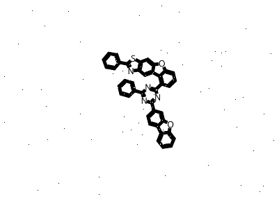 c1ccc(-c2nc(-c3ccc4c(c3)oc3ccccc34)nc(-c3cccc4oc5cc6sc(-c7ccccc7)nc6cc5c34)n2)cc1